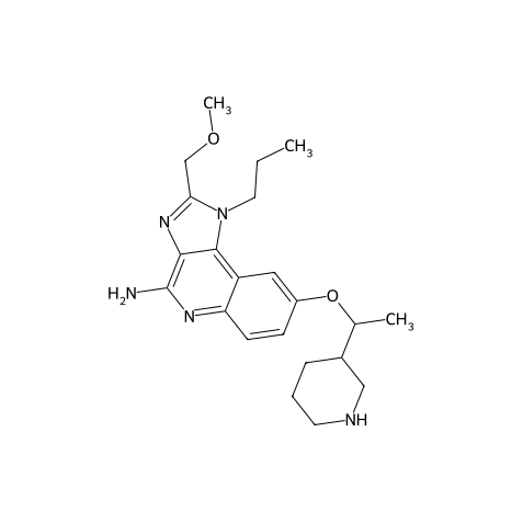 CCCn1c(COC)nc2c(N)nc3ccc(OC(C)C4CCCNC4)cc3c21